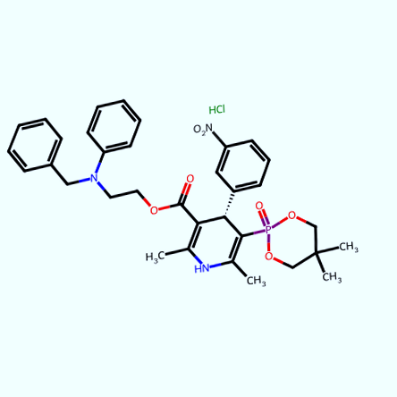 CC1=C(C(=O)OCCN(Cc2ccccc2)c2ccccc2)[C@H](c2cccc([N+](=O)[O-])c2)C(P2(=O)OCC(C)(C)CO2)=C(C)N1.Cl